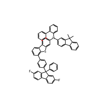 CC1(C)c2ccccc2-c2ccc(N(c3ccc4c(c3)sc3c(-c5ccc(C6(c7ccccc7)c7cc(F)ccc7-c7ccc(F)cc76)cc5)cccc34)c3ccccc3-c3ccccc3)cc21